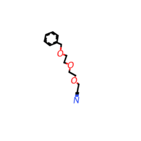 N#CCOCCOCCOCc1ccccc1